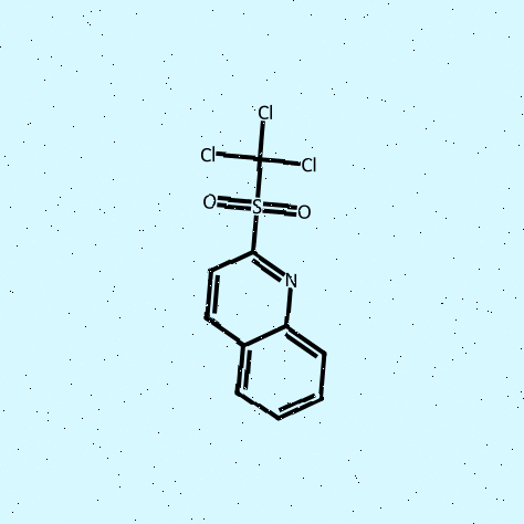 O=S(=O)(c1ccc2ccccc2n1)C(Cl)(Cl)Cl